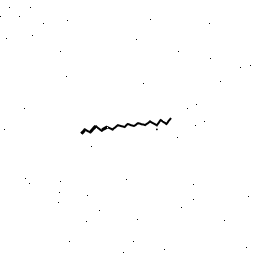 C=CC=CC=CCCCCCCCC[CH]CCC